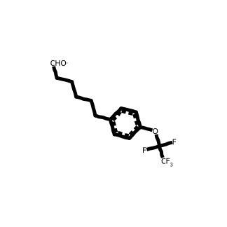 O=[C]CCCCCc1ccc(OC(F)(F)C(F)(F)F)cc1